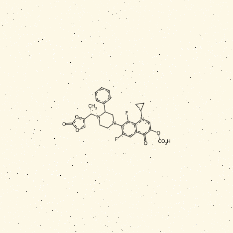 C[C@@H](c1coc(=O)o1)N1CCN(c2c(F)cc3c(=O)c(OC(=O)O)cn(C4CC4)c3c2F)CC1c1ccccc1